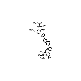 COC[C@H]1C[C@@H](c2ncc(-c3ccc4cc(-c5cnc([C@@H]6CC7(CC7)CN6C(=O)[C@@H](NC(=O)OC)C(C)C)[nH]5)ccc4c3)[nH]2)N(C(=O)[C@@H](NC(=O)OC)C(C)C)C1